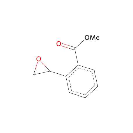 COC(=O)c1ccccc1C1CO1